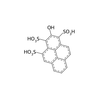 O=S(=O)(O)c1c(O)c(S(=O)(=O)O)c2c(S(=O)(=O)O)cc3cccc4ccc1c2c43